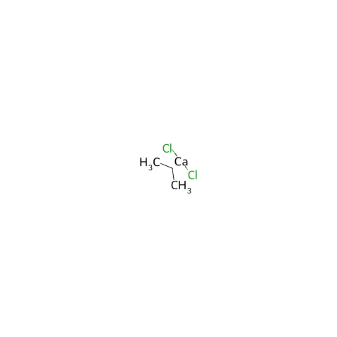 CCC.[Cl][Ca][Cl]